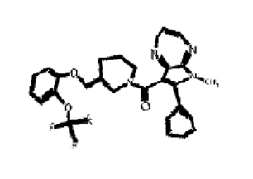 Cn1c(-c2ccccc2)c(C(=O)N2CCCC(COc3ccccc3OC(F)(F)F)C2)c2nccnc21